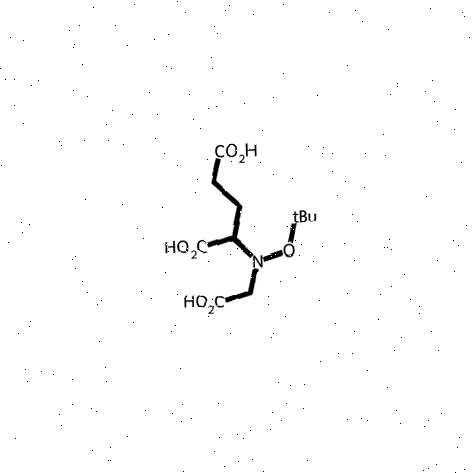 CC(C)(C)ON(CC(=O)O)C(CCC(=O)O)C(=O)O